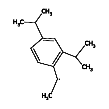 C[CH]c1ccc(C(C)C)cc1C(C)C